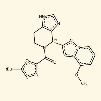 CC(C)(C)c1nnc(C(=O)N2CCc3[nH]cnc3[C@@H]2c2cc3c(OC(F)(F)F)cccn3n2)o1